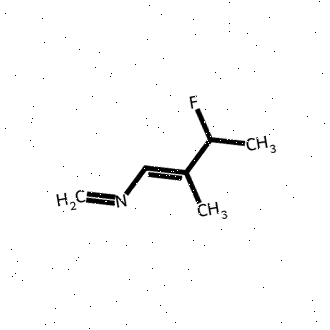 C=N/C=C(\C)C(C)F